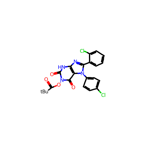 CC(C)(C)C(=O)On1c(=O)[nH]c2nc(-c3ccccc3Cl)n(-c3ccc(Cl)cc3)c2c1=O